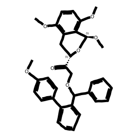 COc1ccc(-c2ccccc2C(OCC(=O)[C@@H]2Cc3c(OC)ccc(OC)c3[C@@H](OC)O2)c2ccccc2)cc1